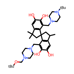 CC1CC2(CC(C)(C)c3cc(O)c(O)c(CN4CCN(C(C)(C)C)CC4)c32)c2c1cc(O)c(O)c2CN1CCN(COC(C)(C)C)CC1